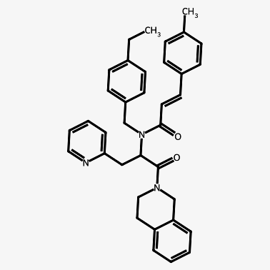 CCc1ccc(CN(C(=O)C=Cc2ccc(C)cc2)C(Cc2ccccn2)C(=O)N2CCc3ccccc3C2)cc1